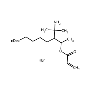 Br.C=CC(=O)OC(C)C(CCCCCCCCCCCCCC)C(C)(C)N